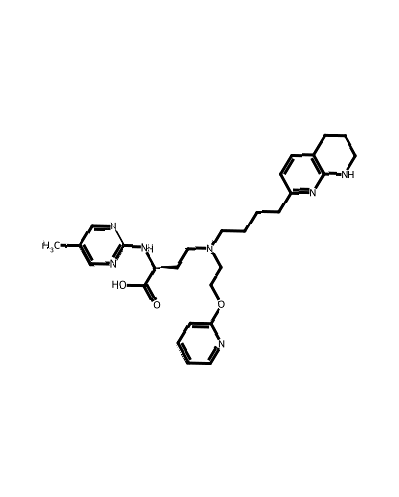 Cc1cnc(N[C@@H](CCN(CCCCc2ccc3c(n2)NCCC3)CCOc2ccccn2)C(=O)O)nc1